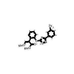 COC=C(C(=O)OC)c1ccccc1Oc1nc(-c2cccc(C(F)(F)F)c2)ns1